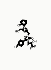 O=c1n(Cc2nc(CO)n(-c3ccccc3Cl)n2)nc(-c2ccc(Cl)cc2)n1C(F)[C@H](O)C(F)F